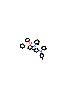 Cc1ccc(N(c2ccccc2)c2ccc3c4cc5c6c(c4n(-c4ccccc4)c3c2)Oc2ccccc2B6c2ccccc2O5)cc1